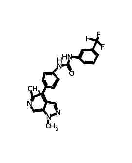 Cc1ncc2c(cnn2C)c1-c1ccc(NC(=O)Nc2cccc(C(F)(F)F)c2)cc1